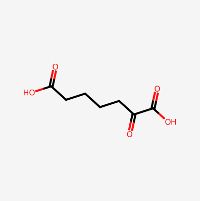 O=C(O)CCCCC(=O)C(=O)O